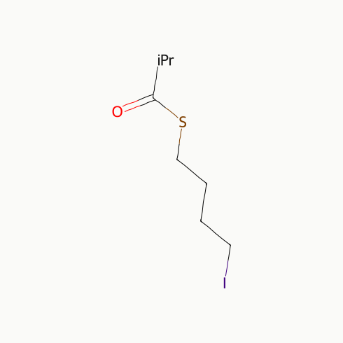 CC(C)C(=O)SCCCCI